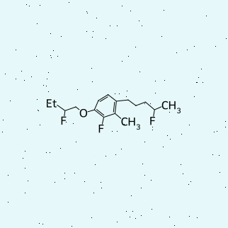 CCC(F)COc1ccc(CCCC(C)F)c(C)c1F